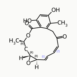 Cc1c(O)cc(O)c2c1CC(=O)/C=C\C=C\[C@H]1O[C@@H]1C[C@@H](C)OC2=O